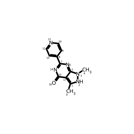 Cc1[nH]n(C)c2nc(-c3ccncc3)nc(=O)c1-2